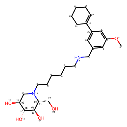 COc1cc(CNCCCCCCN2C[C@H](O)[C@@H](O)[C@H](O)[C@H]2CO)cc(C2=CCCCC2)c1